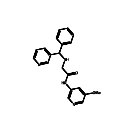 COc1cncc(NC(=O)CNC(c2ccccc2)c2cccnc2)c1